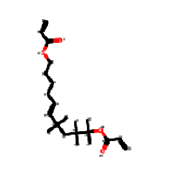 C=CC(=O)OCCCC/C=C/C(C)(C)CC(C)(C)C(C)(C)OC(=O)C=C